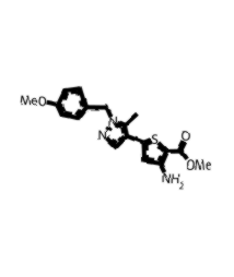 COC(=O)c1sc(-c2cnn(Cc3ccc(OC)cc3)c2C)cc1N